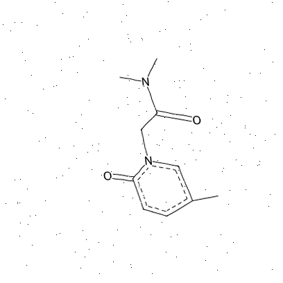 Cc1ccc(=O)n(CC(=O)N(C)C)c1